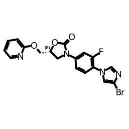 O=C1O[C@@H](COc2ccccn2)CN1c1ccc(-n2cnc(Br)c2)c(F)c1